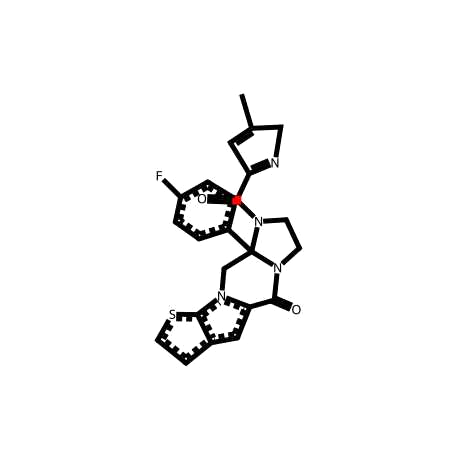 CC1=CC(C(=O)N2CCN3C(=O)c4cc5ccsc5n4CC23c2ccc(F)cc2)=NC1